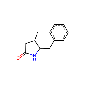 CC1CC(=O)NC1Cc1ccccc1